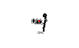 O=C(O)C(F)(F)F.O=C(O)C(F)(F)F.O=C(O)C(F)(F)F.O=CCCCCCCCCCCC(=O)OCc1ccccc1